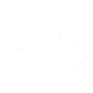 OCc1nnc(CN2CCC(c3cccc(OCc4ccc(Cl)cc4F)n3)CC2)n1CC1CCO1